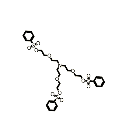 O=S(=O)(OCCOCCN(CCOCCOS(=O)(=O)c1ccccc1)CCOCCOS(=O)(=O)c1ccccc1)c1ccccc1